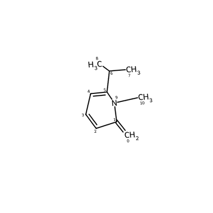 C=C1C=CC=C(C(C)C)N1C